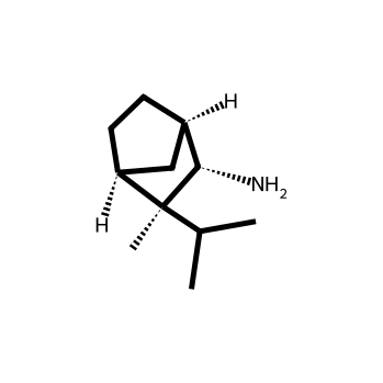 CC(C)[C@@]1(C)[C@H]2CC[C@H](C2)[C@@H]1N